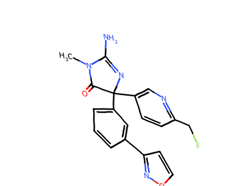 CN1C(=O)C(c2ccc(CF)nc2)(c2cccc(-c3ccon3)c2)N=C1N